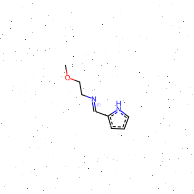 COCC/N=C/c1ccc[nH]1